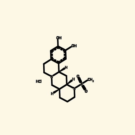 CS(=O)(=O)N1CCC[C@@H]2CN3CCc4cc(O)c(O)cc4[C@@H]3C[C@@H]21.Cl